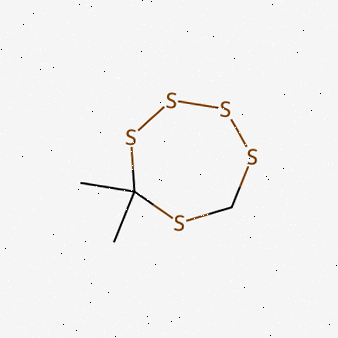 CC1(C)SCSSSS1